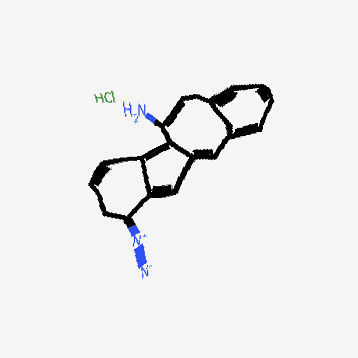 Cl.[N-]=[N+]=C1CC=Cc2c1cc1cc3ccccc3cc(N)c2-1